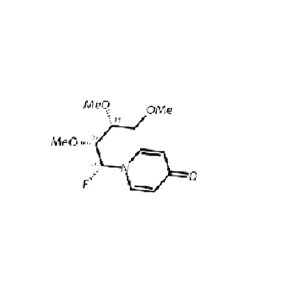 COC[C@@H](OC)[C@@H](OC)[C@@H](F)n1ccc(=O)cc1